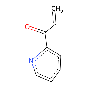 C=CC(=O)c1ccccn1